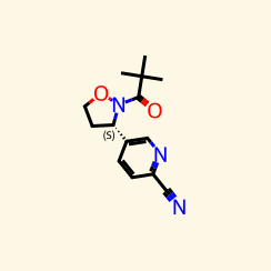 CC(C)(C)C(=O)N1OCC[C@H]1c1ccc(C#N)nc1